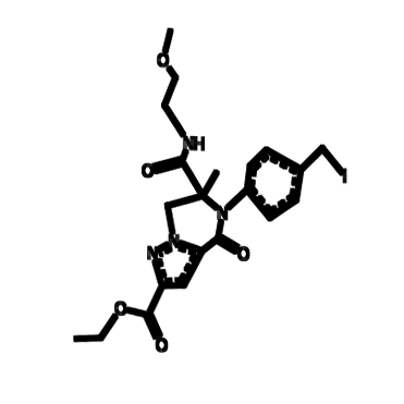 CCOC(=O)c1cc2n(n1)CC(C)(C(=O)NCCOC)N(c1ccc(CI)cc1)C2=O